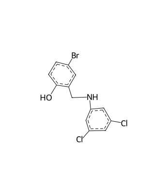 Oc1ccc(Br)cc1CNc1cc(Cl)cc(Cl)c1